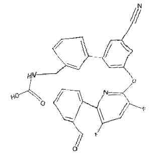 N#Cc1cc(Oc2nc(-c3ccccc3C=O)c(F)cc2F)cc(-c2cccc(CNC(=O)O)c2)c1